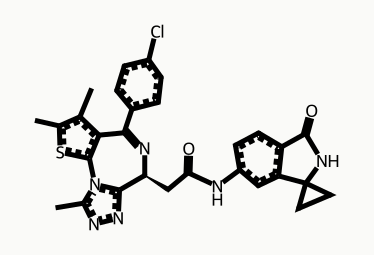 Cc1sc2c(c1C)C(c1ccc(Cl)cc1)=N[C@@H](CC(=O)Nc1ccc3c(c1)C1(CC1)NC3=O)c1nnc(C)n1-2